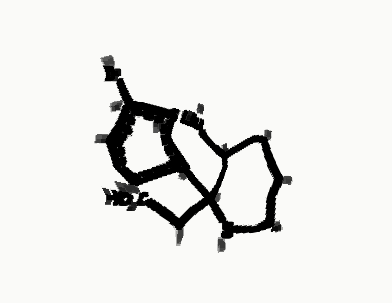 CC(C)(C)C1CCCSC1(CC(=O)O)c1ccc(Br)s1